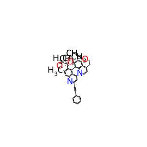 CC(=O)[C@@H](OC(C)(C)C)c1c(C)cc2nc(C#Cc3ccccc3)ccc2c1-c1ccc2c3c(ccnc13)CCO2